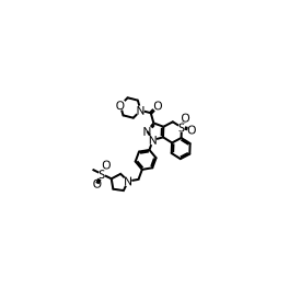 CS(=O)(=O)C1CCN(Cc2ccc(-n3nc(C(=O)N4CCOCC4)c4c3-c3ccccc3S(=O)(=O)C4)cc2)C1